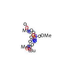 COc1ccc(CN(Cc2ccc(OC)cc2)S(=O)(=O)c2c(CC3CCN(CCOCc4ccccc4)CC3)ccc(-c3ccc(C4CN(C(=O)OC(C)(C)C)C4)cc3)c2-c2nnn(Cc3ccc(OC)cc3)n2)cc1